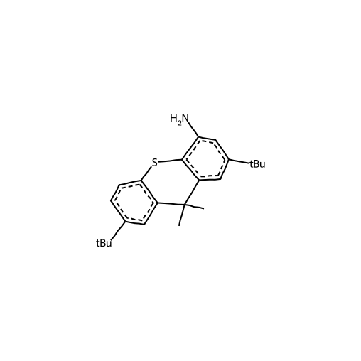 CC(C)(C)c1ccc2c(c1)C(C)(C)c1cc(C(C)(C)C)cc(N)c1S2